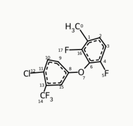 Cc1ccc(F)c(Oc2ccc(Cl)c(C(F)(F)F)c2)c1F